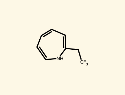 FC(F)(F)CC1=CC=CC=CN1